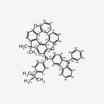 CC1(C)c2ccc3oc4c(c3c2-c2c1cc(N(c1ccc([Si](C)(C)C)cc1)c1ccc3c(c1)c1ccccc1n3-c1ccccc1)c1oc3ccccc3c21)CCC=C4